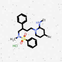 CCNC1CC(C(C)=O)CCN1CCC(CN(C)S(=O)(=O)c1ccccc1)c1ccccc1.Cl